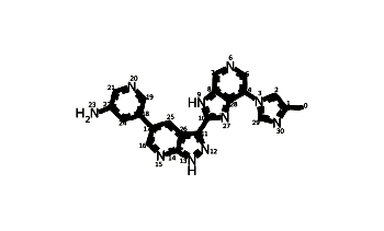 Cc1cn(-c2cncc3[nH]c(-c4n[nH]c5ncc(-c6cncc(N)c6)cc45)nc23)cn1